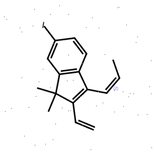 C=CC1=C(/C=C\C)c2ccc(I)cc2C1(C)C